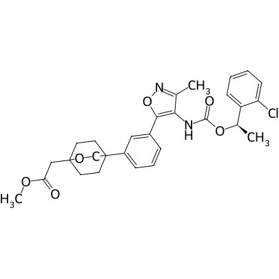 COC(=O)CC12CCC(c3cccc(-c4onc(C)c4NC(=O)O[C@H](C)c4ccccc4Cl)c3)(CC1)CO2